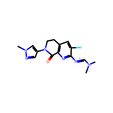 CN(C)/C=N/c1nc2c(cc1F)CCN(c1cnn(C)c1)C2=O